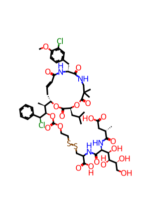 COc1ccc(C[C@H]2NC(=O)/C=C/C[C@@H]([C@H](C)[C@@H](OC(=O)OCCSSCC(NC(=O)[C@@H](NC(=O)[C@@H](C)CC(=O)O)[C@@H](O)[C@H](O)[C@H](O)CO)C(=O)O)[C@@H](Cl)c3ccccc3)OC(=O)[C@H](CC(C)C)OC(=O)C(C)(C)CNC2=O)cc1Cl